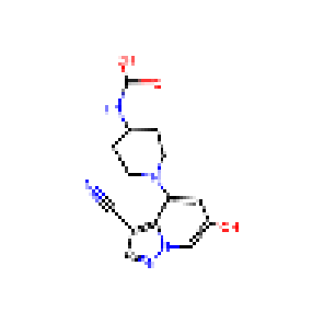 N#Cc1cnn2cc(O)cc(N3CCC(NC(=O)O)CC3)c12